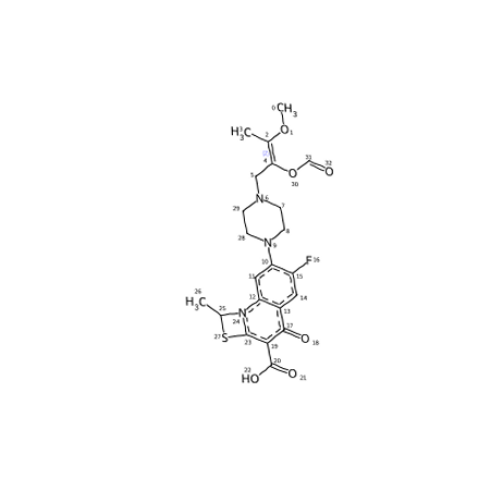 CO/C(C)=C(/CN1CCN(c2cc3c(cc2F)c(=O)c(C(=O)O)c2n3C(C)S2)CC1)OC=O